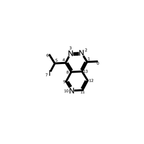 Cc1nnc(C(C)I)c2cnccc12